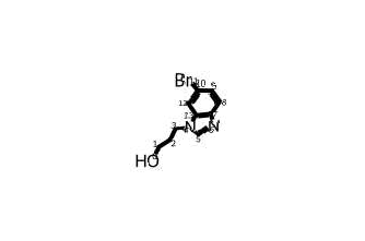 OCCCn1cnc2ccc(Br)cc21